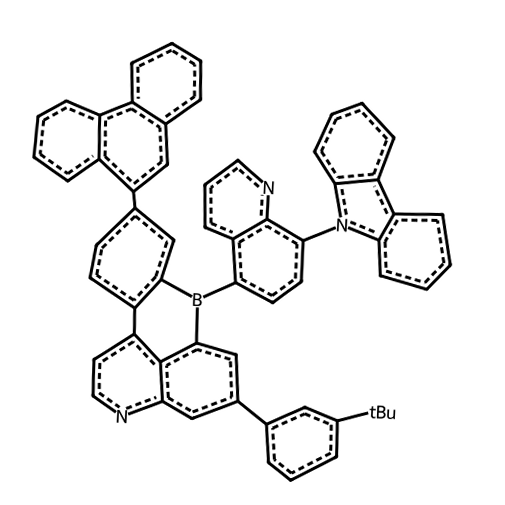 CC(C)(C)c1cccc(-c2cc3c4c(ccnc4c2)-c2ccc(-c4cc5ccccc5c5ccccc45)cc2B3c2ccc(-n3c4ccccc4c4ccccc43)c3ncccc23)c1